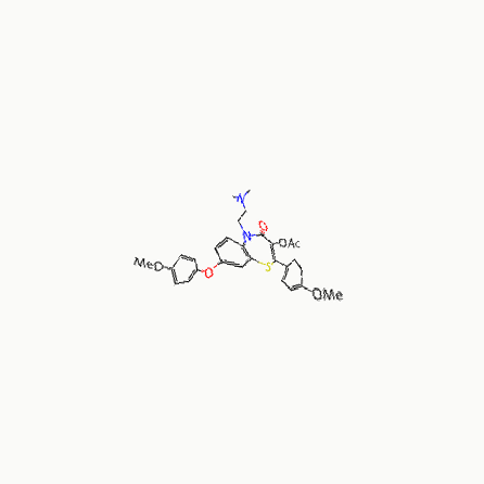 COC1=CC=C(C2=C(OC(C)=O)C(=O)N(CCN(C)C)c3ccc(Oc4ccc(OC)cc4)cc3S2)CC1